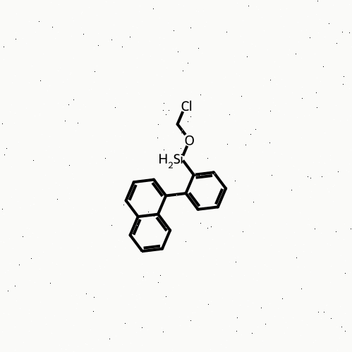 ClCO[SiH2]c1ccccc1-c1cccc2ccccc12